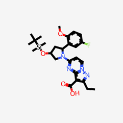 CCc1nn2ccc(N3CC(O[Si](C)(C)C(C)(C)C)CC3c3cc(F)ccc3OC)nc2c1C(=O)O